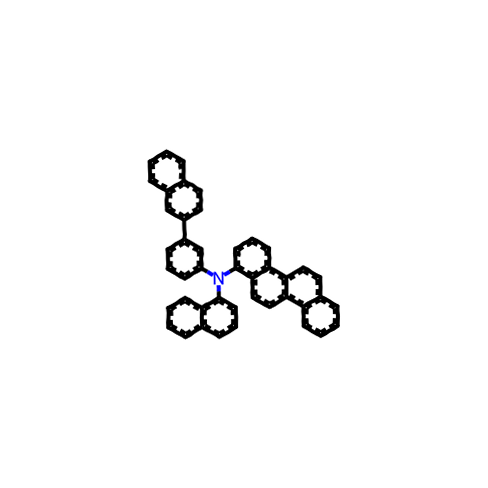 c1cc(-c2ccc3ccccc3c2)cc(N(c2cccc3ccccc23)c2cccc3c2ccc2c4ccccc4ccc32)c1